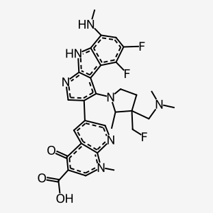 CNc1cc(F)c(F)c2c1[nH]c1ncc(-c3cnc4c(c3)c(=O)c(C(=O)O)cn4C)c(N3CCC(CF)(CN(C)C)C3C)c12